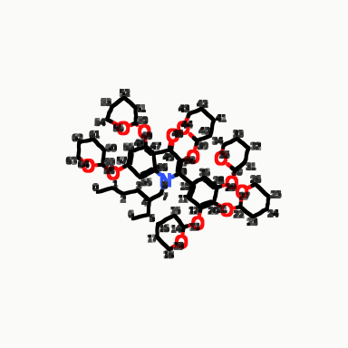 CCCCC(CC)Cn1c(-c2cc(OC3CCCCO3)c(OC3CCCCO3)c(OC3CCCCO3)c2)c(OC2CCCCO2)c(=O)c2c(OC3CCCCO3)cc(OC3CCCCO3)cc21